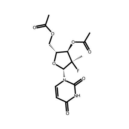 CC(=O)OC[C@H]1O[C@@H](n2ccc(=O)[nH]c2=O)[C@](C)(F)[C@@H]1OC(C)=O